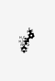 CN1C(c2cccc(C(F)(F)F)c2)=CC1(N)C(=O)Nc1cncnc1